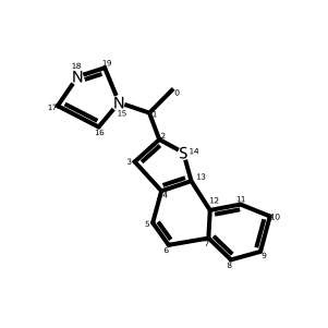 CC(c1cc2ccc3ccccc3c2s1)n1ccnc1